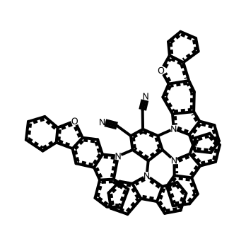 N#Cc1c(C#N)c(-n2c3ccccc3c3cc4c(cc32)oc2ccccc24)c(-n2c3ccccc3c3ccccc32)c(-n2c3ccccc3c3ccccc32)c1-n1c2ccccc2c2cc3c(cc21)oc1ccccc13